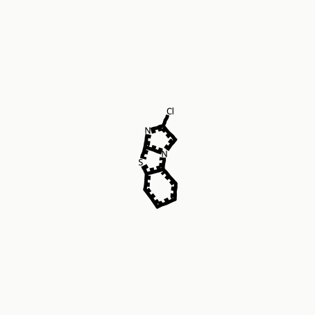 Clc1cn2c(n1)sc1ccccc12